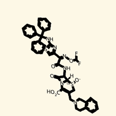 O=C(O)C1=C(CN2CCc3ccccc3C2)C[S+]([O-])[C@H]2C(NC(=O)C(=NOC(F)F)c3csc(NC(c4ccccc4)(c4ccccc4)c4ccccc4)n3)C(=O)N12